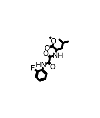 COC(=O)C(CC(C)C)NC(=O)C(=O)Nc1ccccc1F